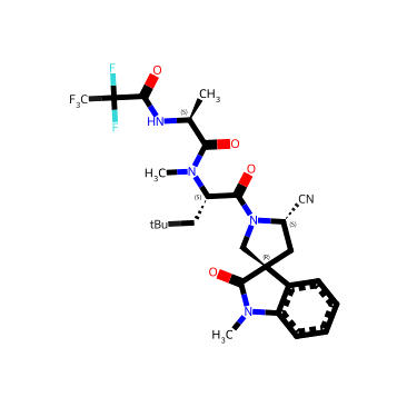 C[C@H](NC(=O)C(F)(F)C(F)(F)F)C(=O)N(C)[C@@H](CC(C)(C)C)C(=O)N1C[C@]2(C[C@H]1C#N)C(=O)N(C)c1ccccc12